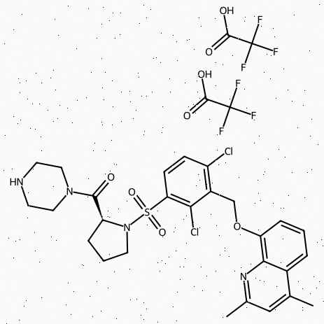 Cc1cc(C)c2cccc(OCc3c(Cl)ccc(S(=O)(=O)N4CCC[C@H]4C(=O)N4CCNCC4)c3Cl)c2n1.O=C(O)C(F)(F)F.O=C(O)C(F)(F)F